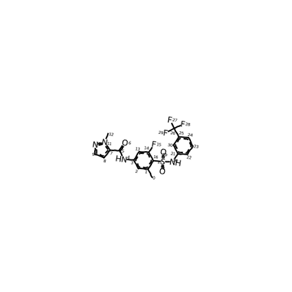 Cc1cc(NC(=O)c2ccnn2C)cc(F)c1S(=O)(=O)Nc1cccc(C(F)(F)F)c1